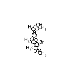 COC(=O)c1cc(Br)c2c(c1C)OC(C)(C1CCN(C(=O)OC(C)(C)C)CC1)O2